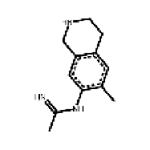 CC(=N)Nc1cc2c(cc1C)CCNC2